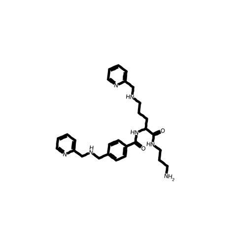 NCCCNC(=O)C(CCCNCc1ccccn1)NC(=O)c1ccc(CNCc2ccccn2)cc1